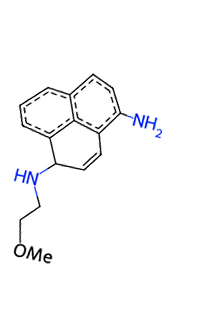 COCCNC1C=Cc2c(N)ccc3cccc1c23